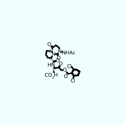 CC(=O)NN1CCC(=O)N2CCC[C@@H](C(=O)N[C@@H](CC(=O)O)C(=O)COC(=O)c3c(Cl)cccc3Cl)N2C1=O